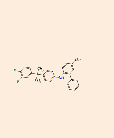 CC(C)(C)c1ccc(Nc2ccc(C(C)(C)c3ccc(F)c(F)c3)cc2)c(-c2ccccc2)c1